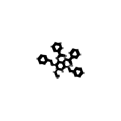 O=C(O[C@H]1[C@@H](OCc2ccccc2)[C@@H](CO)O[C@@H](SCc2ccccc2)[C@@H]1OC(=O)c1ccccc1)c1ccccc1